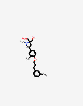 Cc1cccc(CCCOc2ccc(CCC(CO)(CO)N(C)C)cc2C(F)(F)F)c1